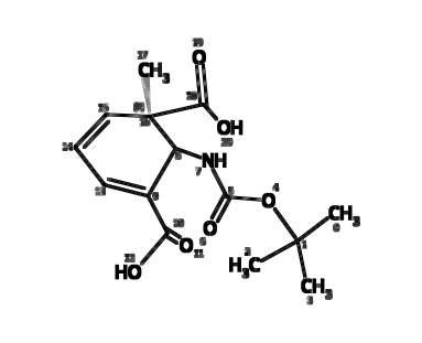 CC(C)(C)OC(=O)NC1C(C(=O)O)=CC=C[C@@]1(C)C(=O)O